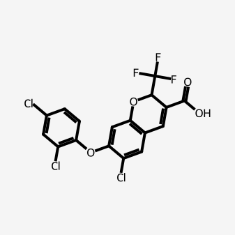 O=C(O)C1=Cc2cc(Cl)c(Oc3ccc(Cl)cc3Cl)cc2OC1C(F)(F)F